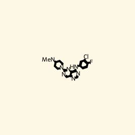 CNC1CCN(c2ncc3ncnc(Nc4ccc(F)c(Cl)c4)c3n2)CC1